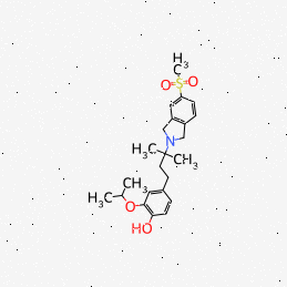 CC(C)Oc1cc(CCC(C)(C)N2Cc3ccc(S(C)(=O)=O)cc3C2)ccc1O